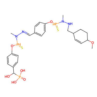 COC1C=CC(CNN(C)[PH](=S)Oc2ccc(/C=N/N(C)[PH](=S)Oc3ccc(C(O)P(=O)(O)O)cc3)cc2)CC1